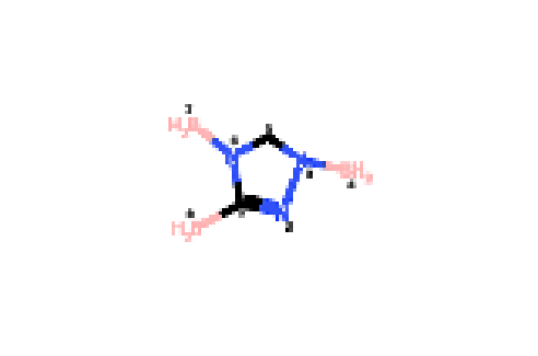 BC1=NN(B)CN1B